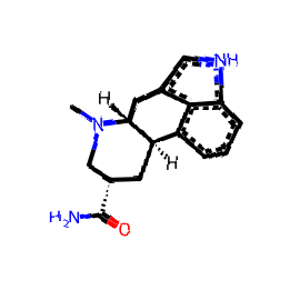 CN1C[C@@H](C(N)=O)C[C@@H]2c3cccc4[nH]cc(c34)C[C@H]21